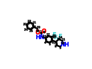 O=C(Nc1ccc(C2=CCNCC2(F)F)c(F)c1)OCc1ccccc1